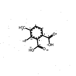 Cc1ccc(C(=O)O)c(C(=O)O)c1F